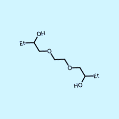 CCC(O)COCCOCC(O)CC